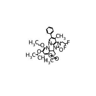 CCOc1nc(C(CS(C)(=O)=O)n2c(=O)n(CC(F)F)c3c(C)c(-c4ccccc4)cnc32)ccc1OC(C)C